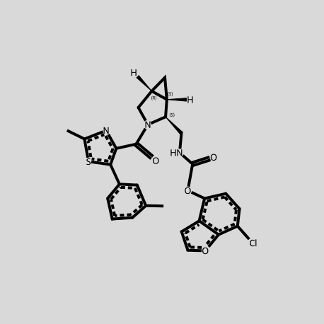 Cc1cccc(-c2sc(C)nc2C(=O)N2C[C@@H]3C[C@@H]3[C@H]2CNC(=O)Oc2ccc(Cl)c3occc23)c1